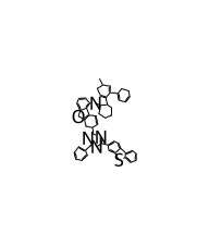 CC1C=C(C2=CC=CCC2)C2=C(C1)N(c1cccc3oc4c(c13)C=CC(c1nc(-c3ccccc3)nc(-c3ccc5c(c3)sc3ccccc35)n1)C4)C1CCCCC21